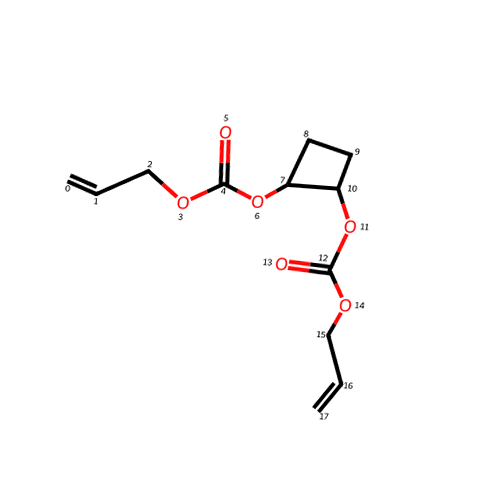 C=CCOC(=O)OC1CCC1OC(=O)OCC=C